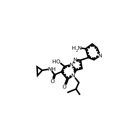 CC(C)Cn1c(=O)c(C(=O)NC2CC2)c(O)n2nc(-c3cnccc3N)cc12